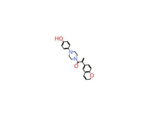 C=C(C(=O)N1CCN(c2ccc(O)cc2)CC1)c1ccc2c(c1)C=CCO2